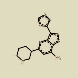 Nc1cc(C2CCCNC2)nc2c(-c3ncon3)cnn12